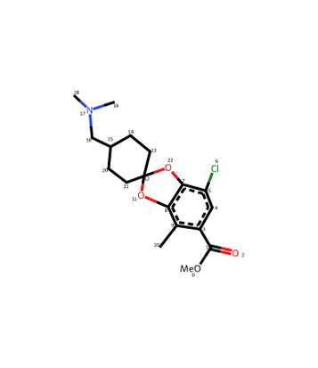 COC(=O)c1cc(Cl)c2c(c1C)OC1(CCC(CN(C)C)CC1)O2